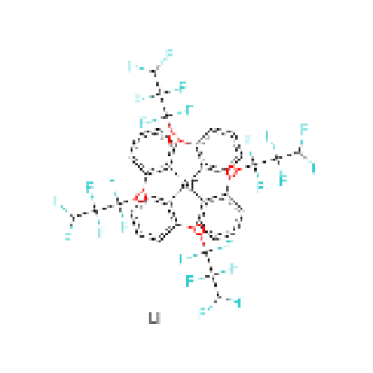 FC(F)C(F)(F)C(F)(F)Oc1cccc[c]1[Al-]([c]1ccccc1OC(F)(F)C(F)(F)C(F)F)([c]1ccccc1OC(F)(F)C(F)(F)C(F)F)[c]1ccccc1OC(F)(F)C(F)(F)C(F)F.[Li+]